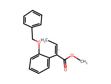 C/C=C(/C(=O)OC)c1ccccc1OCc1ccccc1